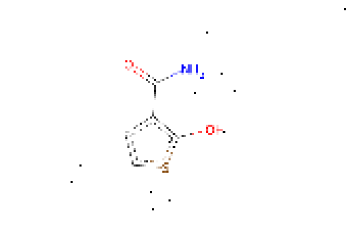 NC(=O)c1ccsc1O